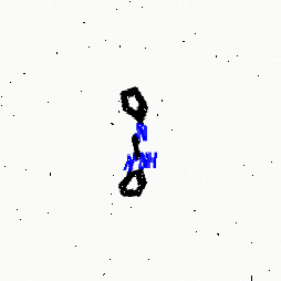 C(=N\C1CCCC1)/c1nc2ccccc2[nH]1